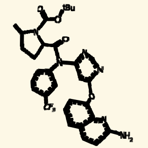 CC1CCC(C(=O)N(c2cccc(C(F)(F)F)c2)c2cc(Oc3cccc4ccc(N)nc34)ncn2)N1C(=O)OC(C)(C)C